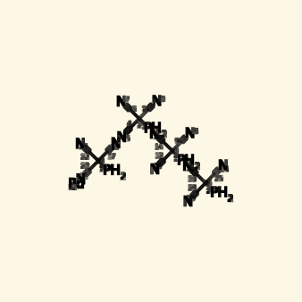 N#CC(P)(C#N)C#N.N#CC(P)(C#N)C#N.N#CC(P)(C#N)C#N.N#CC(P)(C#N)C#N.[Pd]